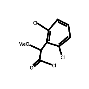 COC(C(=O)Cl)c1c(Cl)cccc1Cl